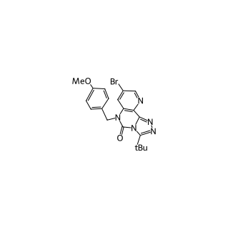 COc1ccc(Cn2c(=O)n3c(C(C)(C)C)nnc3c3ncc(Br)cc32)cc1